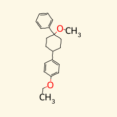 CCOc1ccc(C2CCC(OC)(c3ccccc3)CC2)cc1